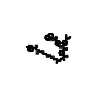 CCN(CC)c1ccc(NC(=O)c2cccc(C(=O)N(C)CCN(C)CCOCCOCCOCCNC(=O)C3CC4CC(C)CC3C(C)C4)c2)c(-c2cc(C(=O)N[C@H]3CCCc4ccccc43)ccn2)c1